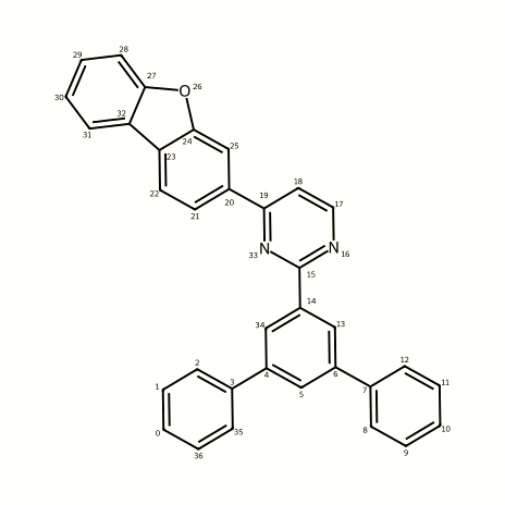 c1ccc(-c2cc(-c3ccccc3)cc(-c3nccc(-c4ccc5c(c4)oc4ccccc45)n3)c2)cc1